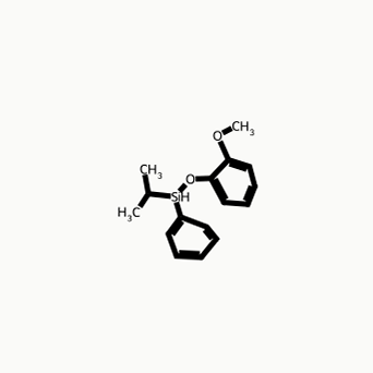 COc1ccccc1O[SiH](c1ccccc1)C(C)C